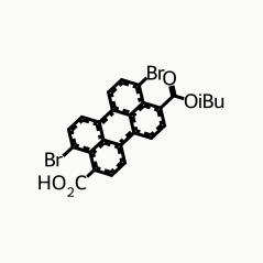 CC(C)COC(=O)c1ccc2c3ccc(C(=O)O)c4c(Br)ccc(c5ccc(Br)c1c52)c43